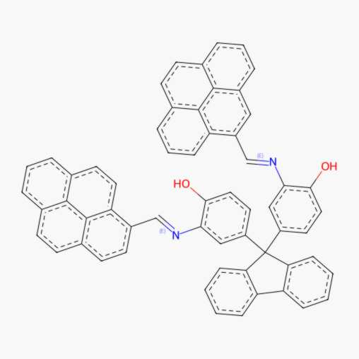 Oc1ccc(C2(c3ccc(O)c(/N=C/c4cc5cccc6ccc7cccc4c7c65)c3)c3ccccc3-c3ccccc32)cc1/N=C/c1ccc2ccc3cccc4ccc1c2c34